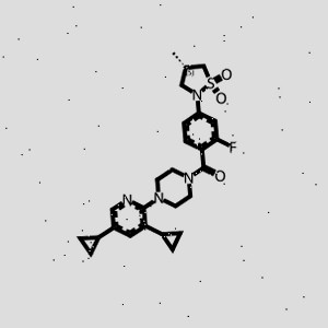 C[C@H]1CN(c2ccc(C(=O)N3CCN(c4ncc(C5CC5)cc4C4CC4)CC3)c(F)c2)S(=O)(=O)C1